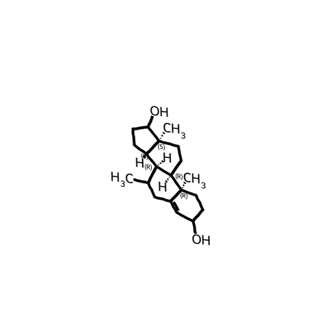 CC1CC2=CC(O)CC[C@]2(C)[C@@H]2CC[C@]3(C)C(O)CC[C@H]3[C@H]12